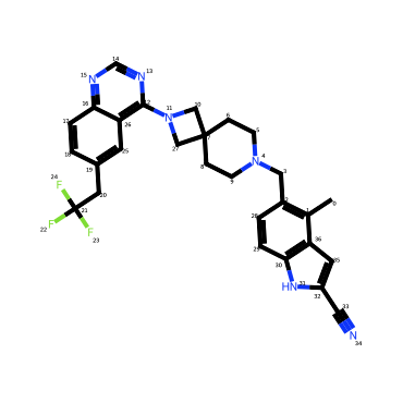 Cc1c(CN2CCC3(CC2)CN(c2ncnc4ccc(CC(F)(F)F)cc24)C3)ccc2[nH]c(C#N)cc12